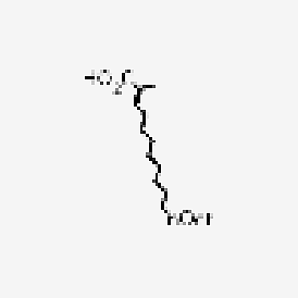 CCCCCCCCCCCCCCCCC=C(C)C(=O)O